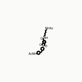 CC(=O)NCCCCCCNC(=O)c1ccc2c(c1)C(=O)N(C1CCC(CC3CCC(NC(C)=O)CC3)CC1)C2=O